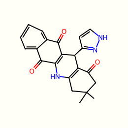 CC1(C)CC(=O)C2=C(C1)NC1=C(C(=O)c3ccccc3C1=O)C2c1cc[nH]n1